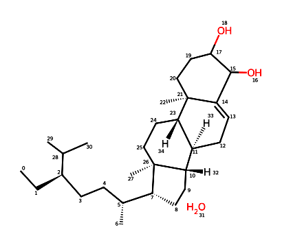 CC[C@H](CC[C@@H](C)[C@H]1CC[C@H]2[C@@H]3CC=C4C(O)C(O)CC[C@]4(C)[C@H]3CC[C@]12C)C(C)C.O